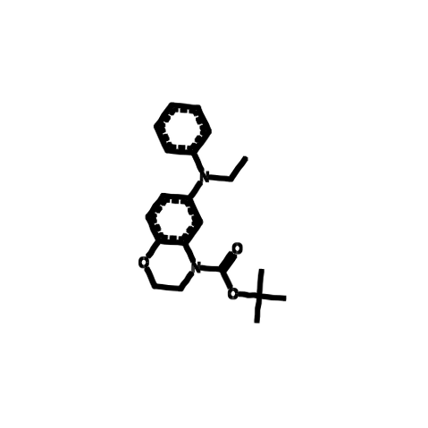 CCN(c1ccccc1)c1ccc2c(c1)N(C(=O)OC(C)(C)C)CCO2